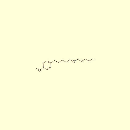 [CH2]CCCCOCCCCCc1ccc(OC)cc1